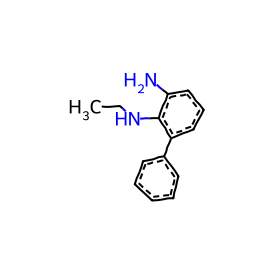 CCNc1c(N)cccc1-c1ccccc1